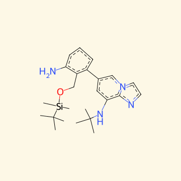 CC(C)(C)Nc1cc(-c2cccc(N)c2CO[Si](C)(C)C(C)(C)C)cn2ccnc12